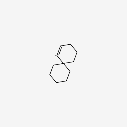 [C]1=CCCCC12CCCCC2